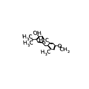 [CH2]Oc1cc(C)c(Cc2ccc(O)c(C(C)C)c2)c(C)c1